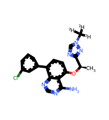 [2H]C([2H])([2H])n1cnc([C@@H](C)Oc2ccc(-c3cccc(Cl)c3)c3ncnc(N)c23)n1